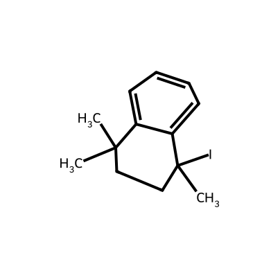 CC1(C)CCC(C)(I)c2ccccc21